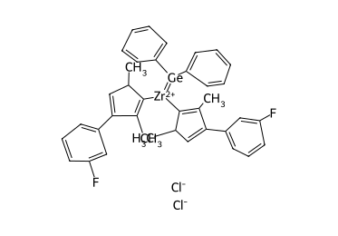 CC1=[C]([Zr+2]([C]2=C(C)C(c3cccc(F)c3)=CC2C)=[Ge]([c]2ccccc2)[c]2ccccc2)C(C)C=C1c1cccc(F)c1.[Cl-].[Cl-]